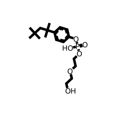 CC(C)(C)CC(C)(C)c1ccc(OP(=O)(O)OCCOCCO)cc1